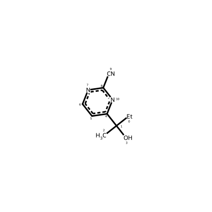 CCC(C)(O)c1ccnc(C#N)n1